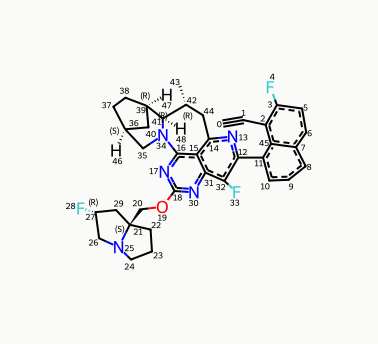 C#Cc1c(F)ccc2cccc(-c3nc4c5c(nc(OC[C@@]67CCCN6C[C@H](F)C7)nc5c3F)N3C[C@H]5CC[C@H](C5)[C@H]3[C@H](C)C4)c12